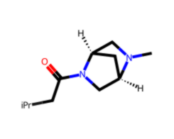 CC(C)CC(=O)N1C[C@H]2C[C@@H]1CN2C